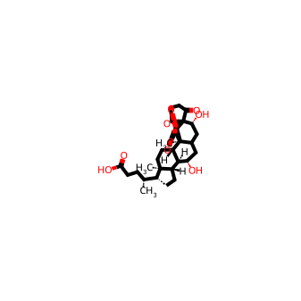 C[C@H](CCC(=O)O)[C@H]1CC[C@H]2[C@@H]3[C@@H](O)CC4C[C@@H](O)C5(C(=O)CCC5=O)C5(C(=O)CCC5=O)[C@]4(C)[C@H]3CC[C@]12C